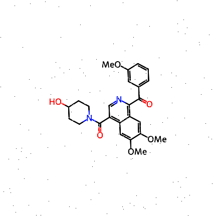 COc1cccc(C(=O)c2ncc(C(=O)N3CCC(O)CC3)c3cc(OC)c(OC)cc23)c1